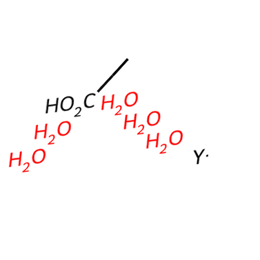 CC(=O)O.O.O.O.O.O.[Y]